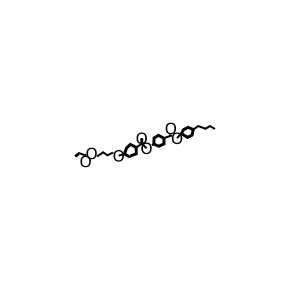 C=CC(=O)OCCCCOc1ccc(C(=O)Oc2ccc(C(=O)Oc3ccc(CCCC)cc3)cc2)cc1